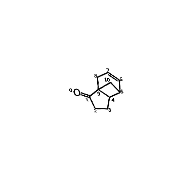 O=C1CCC2C3C=CCC12C3